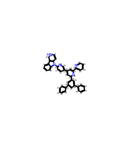 C1=Cc2c(c3ccccc3n2-c2ccc(-c3cc(-c4cc(-c5ccccc5)cc(-c5ccccc5)c4)nc(-c4ccccn4)c3)cn2)CN1